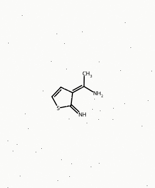 C/C(N)=C1\C=CSC1=N